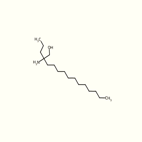 CCCCCCCCCCCCC(N)(CO)CCC